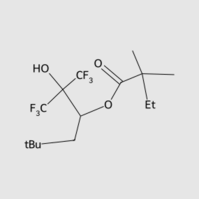 CCC(C)(C)C(=O)OC(CC(C)(C)C)C(O)(C(F)(F)F)C(F)(F)F